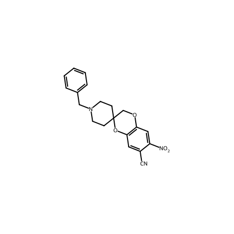 N#Cc1cc2c(cc1[N+](=O)[O-])OCC1(CCN(Cc3ccccc3)CC1)O2